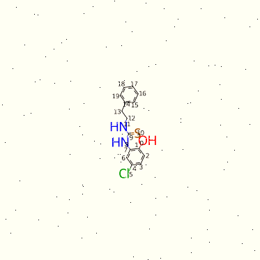 Oc1ccc(Cl)cc1NC(=S)NCCc1ccccc1